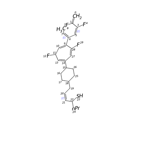 C=C(F)/C(F)=C\C(=C/C)C1=CC(F)C=C(C2CCC(C/C=C\C(S)CCC)CC2)C=C1F